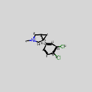 CN1CC2C[C@@]2(c2ccc(Cl)c(Cl)c2)C1